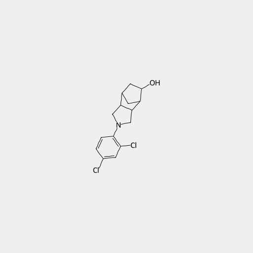 OC1CC2CC1C1CN(c3ccc(Cl)cc3Cl)CC21